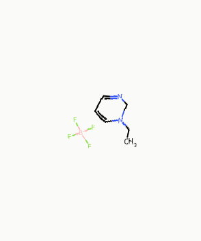 CCN1C=CC=NC1.F[B-](F)(F)F